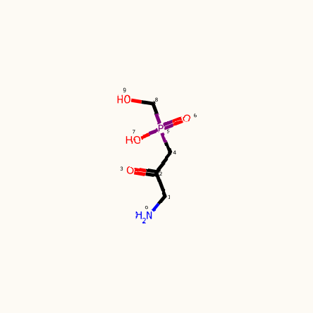 NCC(=O)CP(=O)(O)CO